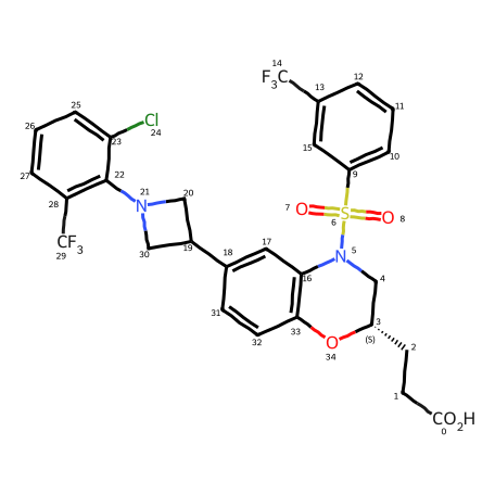 O=C(O)CC[C@H]1CN(S(=O)(=O)c2cccc(C(F)(F)F)c2)c2cc(C3CN(c4c(Cl)cccc4C(F)(F)F)C3)ccc2O1